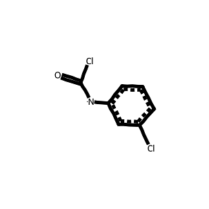 O=C(Cl)[N]c1cccc(Cl)c1